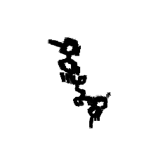 Cc1ccnc(-c2ccc(NC(=O)CCC(=O)N3C[C@H](C)Cn4nc(C)cc43)nc2)c1